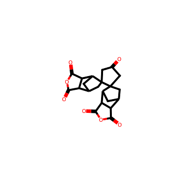 O=C1CC2(CC3CC2C2C(=O)OC(=O)C32)C2(C1)CC1CC2C2C(=O)OC(=O)C12